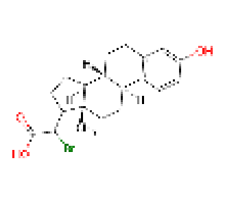 C[C@]12CC[C@@H]3c4ccc(O)cc4CC[C@H]3[C@@H]1CCC2C(Br)C(=O)O